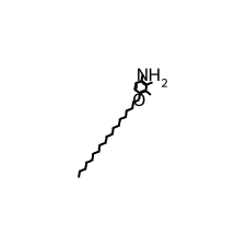 CCCCCCCCCCCCCCCCCCOc1ccc(N)c(C)c1C